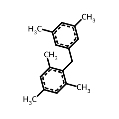 Cc1cc(C)cc(Cc2c(C)cc(C)cc2C)c1